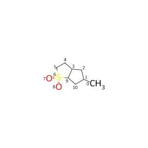 CC1CC2CCS(=O)(=O)C2C1